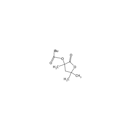 CCC(C)C(=O)OC1(C)CC(C)(C)OC1=O